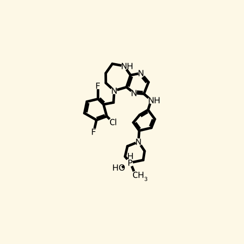 C[PH]1(O)CCN(c2ccc(Nc3cnc4c(n3)N(Cc3c(F)ccc(F)c3Cl)CCCN4)cc2)CC1